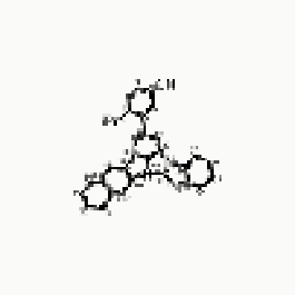 CC(C)c1ccc(C#N)cc1-c1cc2c3cc4ccccc4cc3n3c2c(c1)n1c2ccccc2nc13